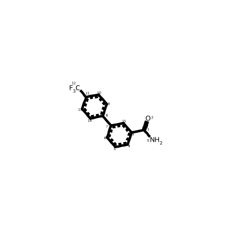 NC(=O)c1cccc(-c2ccc(C(F)(F)F)cc2)c1